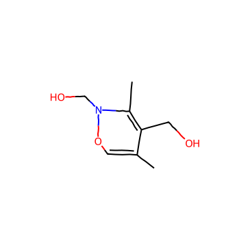 CC1=CON(CO)C(C)=C1CO